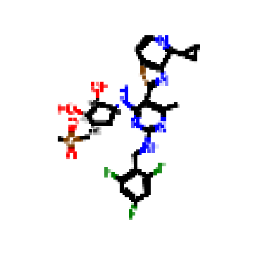 Cc1nc(NCc2c(F)cc(F)cc2F)nc(N[C@@H]2C[C@H](CS(C)(=O)=O)[C@@H](O)[C@H]2O)c1-c1nc2c(C3CC3)nccc2s1